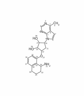 Cc1ncnc2c1ccn2C1CC(Oc2cccc3c2C(N)CCC3)C(O)C1O